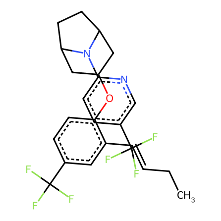 CC/C=C/c1cc(C(F)(F)F)ccc1OC1CC2CCC(C1)N2c1ccc(C(F)(F)F)cn1